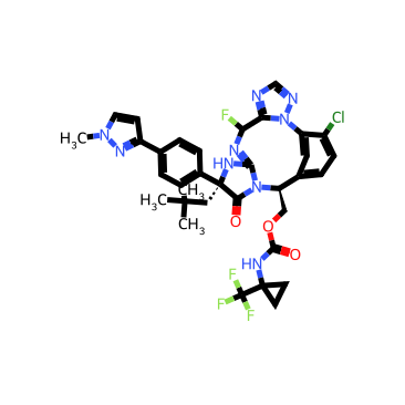 Cn1ccc(-c2ccc([C@@]3(CC(C)(C)C)N/C4=N\C(F)c5ncnn5-c5cc(ccc5Cl)[C@@H](COC(=O)NC5(C(F)(F)F)CC5)N4C3=O)cc2)n1